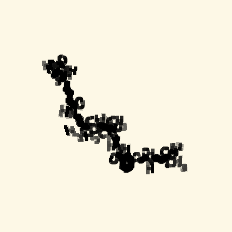 CCOC(C)(C)CCNC(=O)COc1cccc(C(=O)NCCNC(=O)C(C)(C)COC(C)(C)CCNC(=O)CCCC[C@@H]2SC[C@@H]3NC(=O)N[C@@H]32)c1